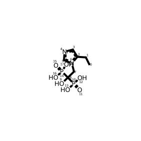 CCc1cncn1CC(O)(P(=O)(O)O)P(=O)(O)O